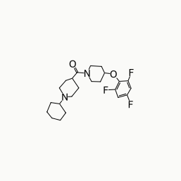 O=C(C1CCN(C2CCCCC2)CC1)N1CCC(Oc2c(F)cc(F)cc2F)CC1